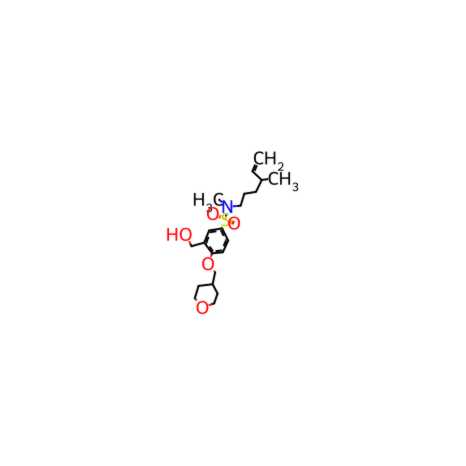 C=CC(C)CCCN(C)S(=O)(=O)c1ccc(OCC2CCOCC2)c(CO)c1